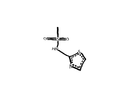 CS(=O)(=O)Nc1nccs1